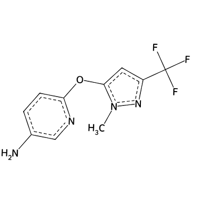 Cn1nc(C(F)(F)F)cc1Oc1ccc(N)cn1